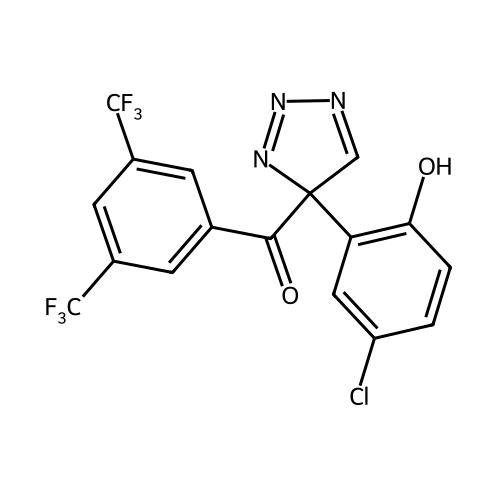 O=C(c1cc(C(F)(F)F)cc(C(F)(F)F)c1)C1(c2cc(Cl)ccc2O)C=NN=N1